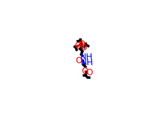 CCC(C)C(=O)OCCNC(=O)NCCC[Si](OC(C)C)(OC(C)C)OC(C)C